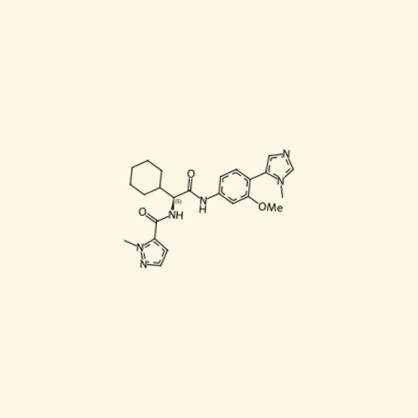 COc1cc(NC(=O)[C@@H](NC(=O)c2ccnn2C)C2CCCCC2)ccc1-c1cncn1C